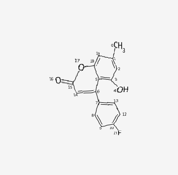 Cc1cc(O)c2c(-c3ccc(F)cc3)cc(=O)oc2c1